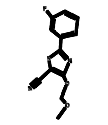 COCOc1nc(-c2cccc(F)c2)sc1C#N